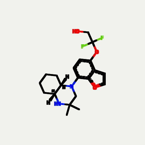 CC1(C)CN(c2ccc(OC(F)(F)CO)c3ccoc23)[C@H]2CCCC[C@H]2N1